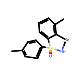 Cc1ccc([SH]2(=O)N[Se]c3c(C)cccc32)cc1